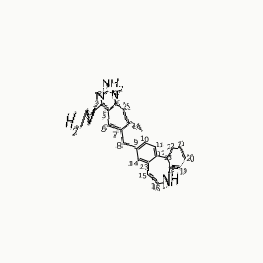 Nc1nc(N)c2cc(Cc3ccc4c(c3)C=CNc3ccccc3-4)ccc2n1